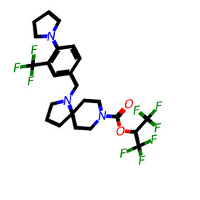 O=C(OC(C(F)(F)F)C(F)(F)F)N1CCC2(CCCN2Cc2ccc(N3CCCC3)c(C(F)(F)F)c2)CC1